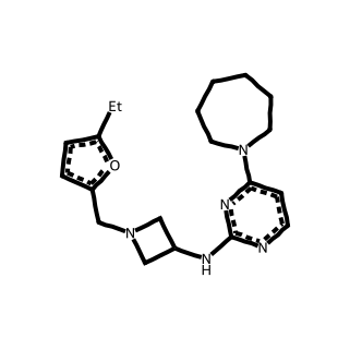 CCc1ccc(CN2CC(Nc3nccc(N4CCCCCC4)n3)C2)o1